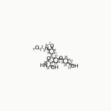 COCCCN1CCOc2ccc(CO[C@H]3CNC[C@@H](O)[C@@H]3c3ccc(Oc4ccc(C(C)(C)O)cc4)cc3)cc21